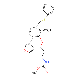 CC(C)(C)OC(=O)NCCCOc1c(-c2ccoc2)ccc(CSc2ccccc2)c1C(=O)O